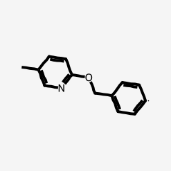 Cc1ccc(OCc2cc[c]cc2)nc1